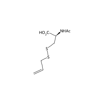 C=CCSSC[C@H](NC(C)=O)C(=O)O